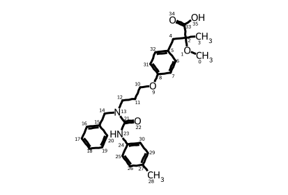 COC(C)(Cc1ccc(OCCCN(Cc2ccccc2)C(=O)Nc2ccc(C)cc2)cc1)C(=O)O